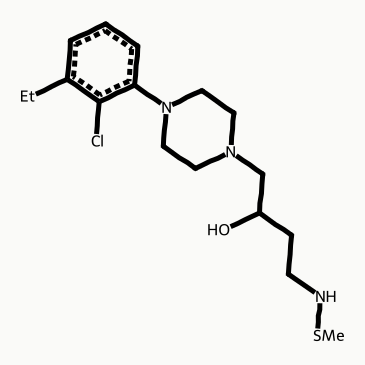 CCc1cccc(N2CCN(CC(O)CCNSC)CC2)c1Cl